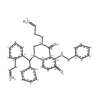 C=CCCN1CN(C(c2ccccn2)c2ccccc2CC=C)n2ccc(=O)c(OCc3ccccc3)c2C1=O